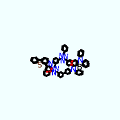 c1ccc(-c2nc(-c3ccccc3)nc(-c3ccc(-n4c5ccccc5c5c6sc7ccccc7c6ccc54)c(-c4nc(-c5ccccc5)nc(-c5cccc(-c6ccc(N7c8ccccc8B8c9ccccc9N(c9ccccc9)c9cccc7c98)cc6)c5)n4)c3)n2)cc1